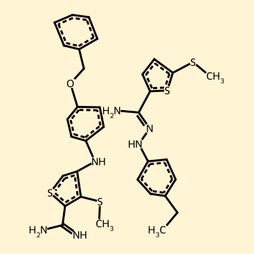 CCc1ccc(NN=C(N)c2ccc(SC)s2)cc1.CSc1c(Nc2ccc(OCc3ccccc3)cc2)csc1C(=N)N